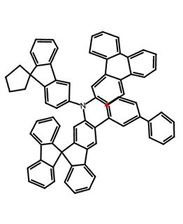 c1ccc(-c2cccc(-c3cc4c(cc3N(c3ccc5c(c3)-c3ccccc3C53CCCC3)c3ccc5c6ccccc6c6ccccc6c5c3)C3(c5ccccc5-c5ccccc53)c3ccccc3-4)c2)cc1